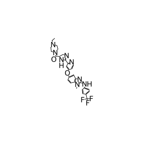 CCN1CCN(C(=O)C2CN=C(c3cc(Oc4ccc5c(c4)nc(Nc4ccc(C(F)(F)F)cc4)n5C)ccn3)N2)CC1